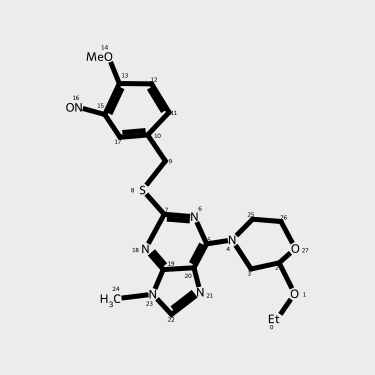 CCOC1CN(c2nc(SCc3ccc(OC)c(N=O)c3)nc3c2ncn3C)CCO1